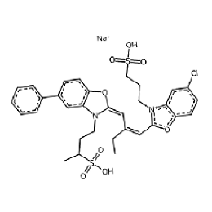 CCC(=Cc1oc2ccc(Cl)cc2[n+]1CCCS(=O)(=O)O)C=C1Oc2ccc(-c3ccccc3)cc2N1CCC(C)S(=O)(=O)O.[Na+]